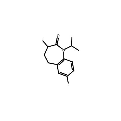 CC(C)N1C(=O)C(I)CCc2cc(F)ccc21